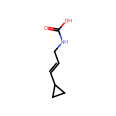 O=C(O)NCC=CC1CC1